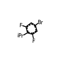 CC(C)c1c(F)cc(Br)cc1F